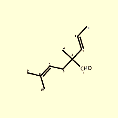 CC=CC(C)(C=O)CC=C(C)C